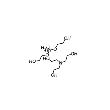 O.OCCN(CCO)CCO.OCCONOCCO